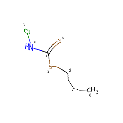 CCCSC(=S)NCl